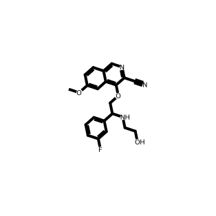 COc1ccc2cnc(C#N)c(OCC(NCCO)c3cccc(F)c3)c2c1